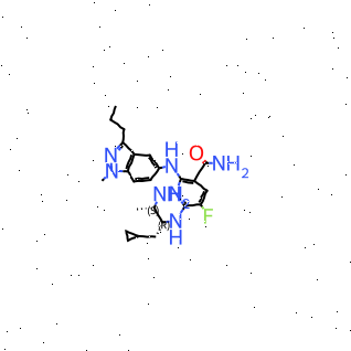 CCCc1nn(C)c2ccc(Nc3nc(N[C@H](CC4CC4)[C@H](C)N)c(F)cc3C(N)=O)cc12